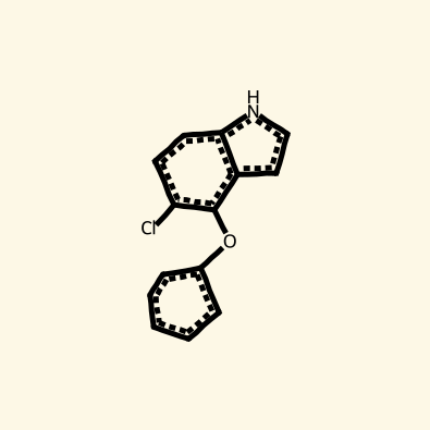 Clc1ccc2[nH]ccc2c1Oc1ccccc1